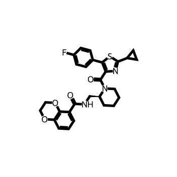 O=C(NC[C@@H]1CCCCN1C(=O)c1nc(C2CC2)sc1-c1ccc(F)cc1)c1cccc2c1OCCO2